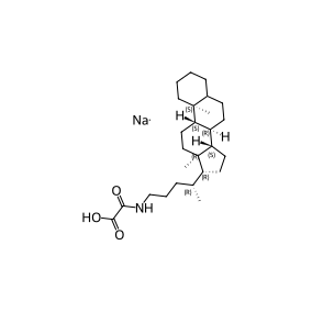 C[C@H](CCCNC(=O)C(=O)O)[C@H]1CC[C@H]2[C@@H]3CCC4CCCC[C@]4(C)[C@H]3CC[C@]12C.[Na]